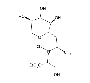 CCOC(=O)[C@@H](CO)N(Cl)C(C)C[C@@H]1OC[C@@H](O)C(O)[C@H]1O